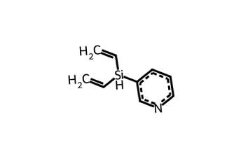 C=C[SiH](C=C)c1cccnc1